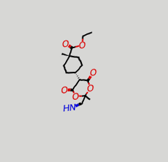 CCOC(=O)[C@]1(C)CC[C@H](C2C(=O)OC(C)(C=N)OC2=O)CC1